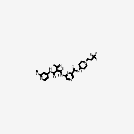 COc1cc(NC(=O)c2c(C)nsc2Nc2cncc(C(=O)NC3CCN(CCC(F)(F)F)CC3)n2)ccn1